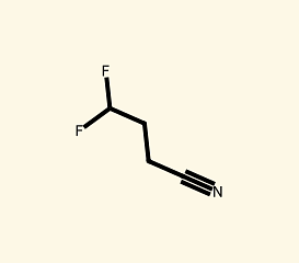 N#CCCC(F)F